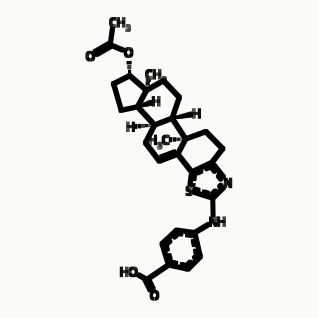 CC(=O)O[C@H]1CC[C@H]2[C@@H]3CC=C4c5sc(Nc6ccc(C(=O)O)cc6)nc5CC[C@]4(C)[C@H]3CC[C@]12C